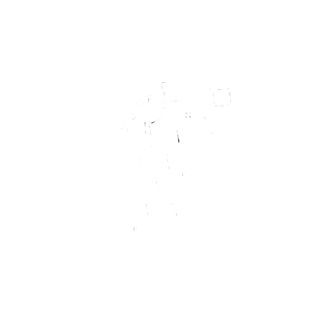 CS(=O)(=O)N[C@@H]1[C@H](Cc2cccc(-c3cccc(F)c3)c2F)N(C(=O)[C@H]2CCO2)CC1(F)F